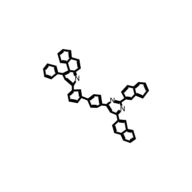 c1ccc(-c2cc(-c3cccc(-c4ccc(-c5cc(-c6ccc7ccccc7c6)nc(-c6ccc7ccccc7c6)n5)cc4)c3)nc3ccc4ccccc4c23)cc1